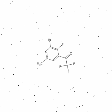 Cc1cc(Br)c(F)c(C(=O)C(F)(F)F)c1